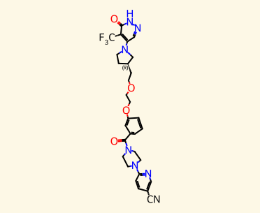 N#Cc1ccc(N2CCN(C(=O)c3cccc(OCCOCC[C@H]4CCN(c5cn[nH]c(=O)c5C(F)(F)F)C4)c3)CC2)nc1